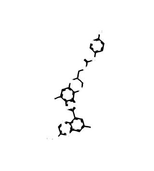 COc1cnc2c(-c3nc4c(C)cc5c(c4s3)OCC(COC(=O)Nc3ccc(N)nc3)O5)cc(C)cc2n1